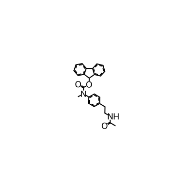 CC(=O)NCCc1ccc(N(C)C(=O)OC2c3ccccc3-c3ccccc32)cc1